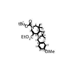 CCOC(=O)C1=CN(C(=O)OC(C)(C)C)CC(C)(C)c2nc(C)n(Cc3ccc(OC)cc3)c21